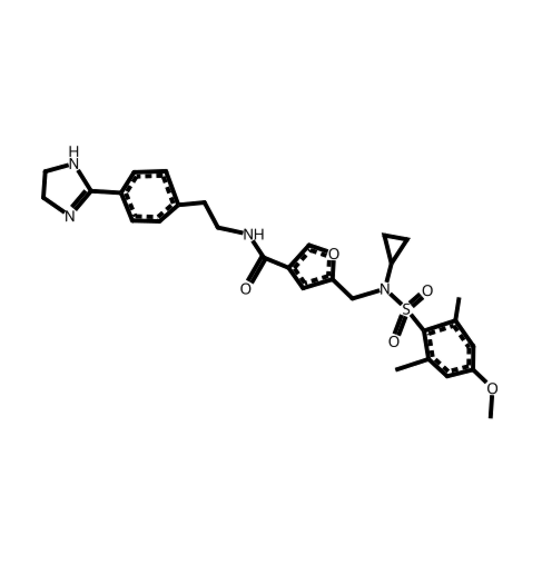 COc1cc(C)c(S(=O)(=O)N(Cc2cc(C(=O)NCCc3ccc(C4=NCCN4)cc3)co2)C2CC2)c(C)c1